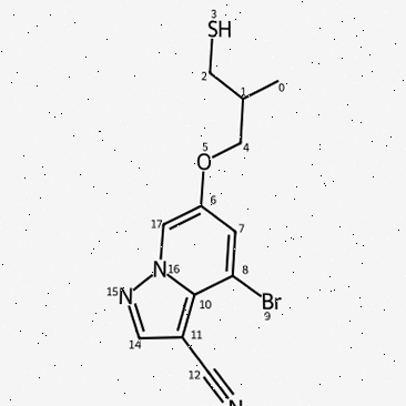 CC(CS)COc1cc(Br)c2c(C#N)cnn2c1